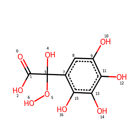 O=C(O)C(O)(OO)c1cc(O)c(O)c(O)c1O